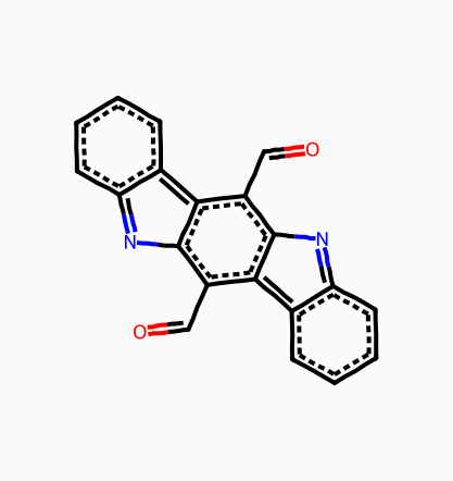 O=Cc1c2c(c(C=O)c3c1=c1ccccc1=N3)=c1ccccc1=N2